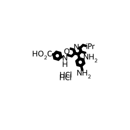 Cc1nc(CC(C)C)c(CN)c(-c2ccc(CN)cc2)c1CC(=O)Nc1ccc(C(=O)O)cc1.Cl.Cl